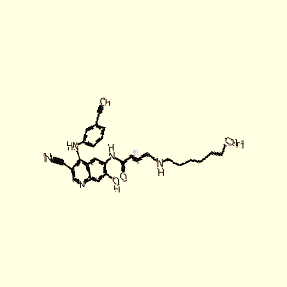 C#Cc1cccc(Nc2c(C#N)cnc3cc(O)c(NC(=O)/C=C/CNCCCCCCO)cc23)c1